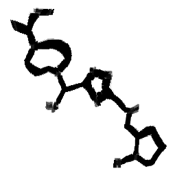 CC(c1nsc(NCC2CCCN2C(C)C)n1)N1CCN(C(=O)C(C)(C)C)CC1